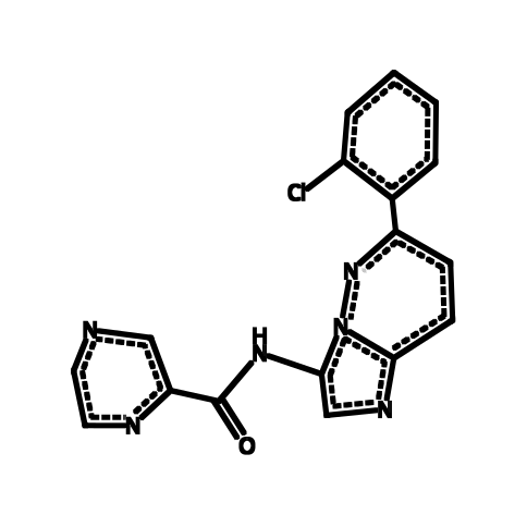 O=C(Nc1cnc2ccc(-c3ccccc3Cl)nn12)c1cnccn1